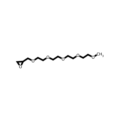 COCCOCCOCCOCCOCC1CO1